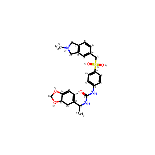 CC(NC(=O)Nc1ccc(S(=O)(=O)Cc2ccc3c(c2)CN(C)C3)cc1)C1=CC=C2OCOC2C1